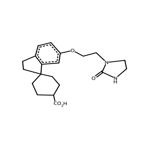 O=C(O)C1CCC2(CCc3ccc(OCCN4CCNC4=O)cc32)CC1